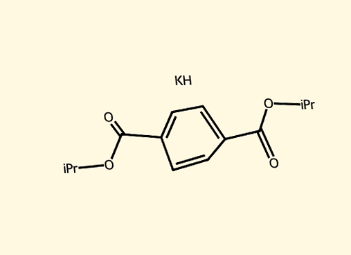 CC(C)OC(=O)c1ccc(C(=O)OC(C)C)cc1.[KH]